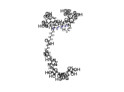 CCN1/C(=C/C=C/C=C/C(=N\CCCCCC(=O)NCCCn2cc(CNc3ncnc4c3ncn4[C@@H]3O[C@H](COP(=O)(O)OP(=O)(O)OC[C@H]4OC[C@H](O)[C@@H]4O)[C@@H](O)[C@H]3O)nn2)C(C)(C)c2c(C)ccc3c(S(=O)(=O)O)cc(S(=O)(=O)O)cc23)C(C)(C)c2c1ccc1c(S(=O)(=O)O)cc(S(=O)(=O)O)cc21